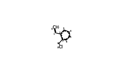 [CH]=Cc1ccccc1CCl